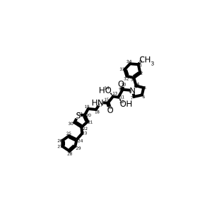 CC1C=C(C2CCCN2C(=O)[C@H](O)[C@@H](O)C(=O)NCCc2cc(Cc3ccccc3)cs2)C=CC1